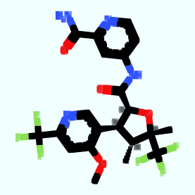 COc1cc(C(F)(F)F)ncc1[C@H]1[C@@H](C(=O)Nc2ccnc(C(N)=O)c2)O[C@](C)(C(F)(F)F)[C@@H]1C